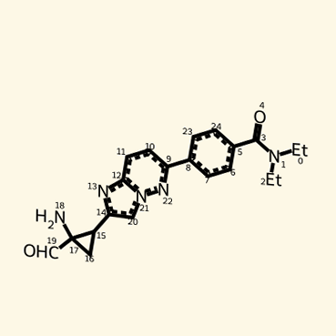 CCN(CC)C(=O)c1ccc(-c2ccc3nc(C4CC4(N)C=O)cn3n2)cc1